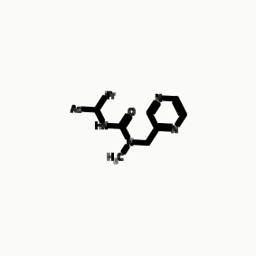 CC(=O)C(NC(=O)N(C)Cc1cnccn1)C(C)C